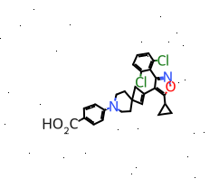 O=C(O)c1ccc(N2CCC3(C=C(c4c(-c5c(Cl)cccc5Cl)noc4C4CC4)C3)CC2)cc1